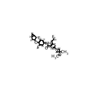 COC1(C)CN(c2nc(C(=O)Nc3cc(F)c(OC4CC5CC5C4)c(F)c3)c(CCF)s2)C1